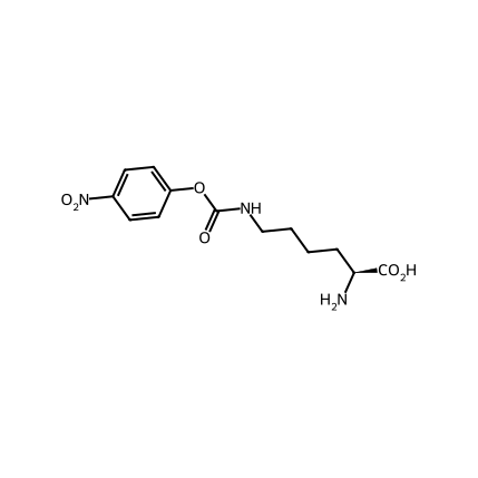 N[C@@H](CCCCNC(=O)Oc1ccc([N+](=O)[O-])cc1)C(=O)O